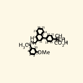 COc1cccc([C@@H](C)NCc2cc(-c3ccc(C(C)(C)C(=O)O)cc3)c3ccccc3c2)c1